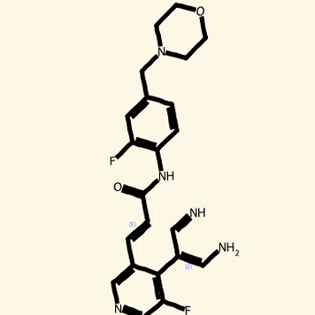 N=C/C(=C\N)c1c(F)cncc1/C=C/C(=O)Nc1ccc(CN2CCOCC2)cc1F